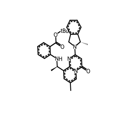 Cc1cc([C@@H](C)Nc2ccccc2C(=O)OC(C)(C)C)c2nc(N3Cc4ccccc4[C@@H]3C)cc(=O)n2c1